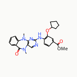 COC(=O)c1ccc(Nc2ncc3c(n2)N(C)c2ccccc2C(=O)N3C)c(OC2CCCC2)c1